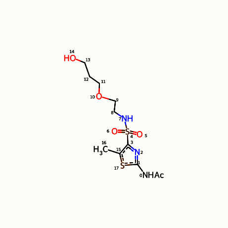 CC(=O)Nc1nc(S(=O)(=O)NCCOCCCO)c(C)s1